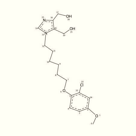 COc1ccc(OCCCCCCn2cnc(CO)c2CO)c(Cl)c1